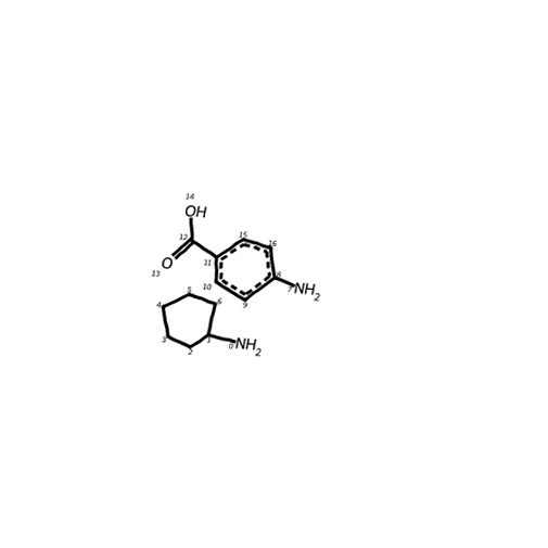 NC1CCCCC1.Nc1ccc(C(=O)O)cc1